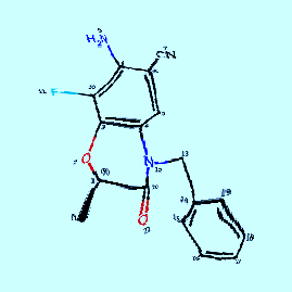 C[C@H]1Oc2c(cc(C#N)c(N)c2F)N(Cc2ccccc2)C1=O